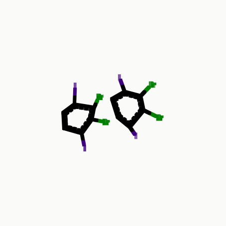 Brc1c(I)ccc(I)c1Br.Brc1c(I)ccc(I)c1Br